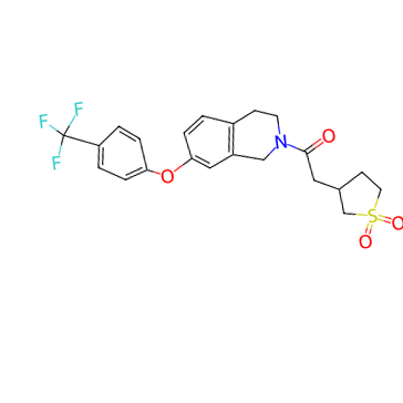 O=C(CC1CCS(=O)(=O)C1)N1CCc2ccc(Oc3ccc(C(F)(F)F)cc3)cc2C1